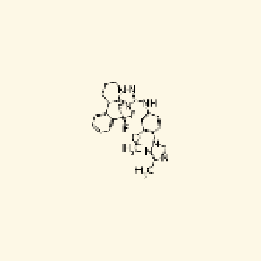 COc1cc(Nc2nc3n(n2)CCCC3c2ccccc2C(F)(F)F)ccc1-n1cnc(C)n1